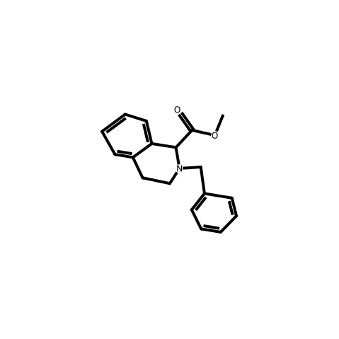 COC(=O)C1c2ccccc2CCN1Cc1ccccc1